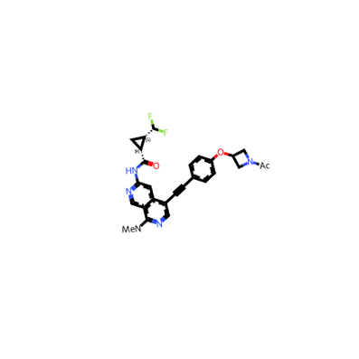 CNc1ncc(C#Cc2ccc(OC3CN(C(C)=O)C3)cc2)c2cc(NC(=O)[C@@H]3C[C@@H]3C(F)F)ncc12